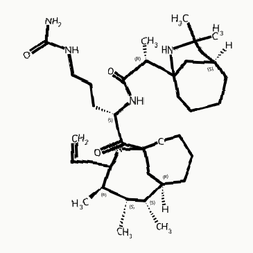 C=CC1NC2(C(=O)[C@H](CCCNC(N)=O)NC(=O)[C@H](C)C34CCCC[C@@H](C3)C(C)(C)N4)CCCC[C@H](C2)[C@H](C)[C@H](C)[C@H]1C